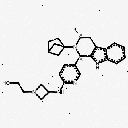 C[C@@H]1Cc2c([nH]c3ccccc23)[C@@H](c2ccc(NC3CN(CCO)C3)nc2)N1C12CCC(C1)C2